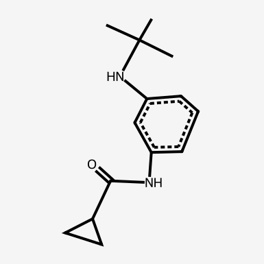 CC(C)(C)Nc1cccc(NC(=O)C2CC2)c1